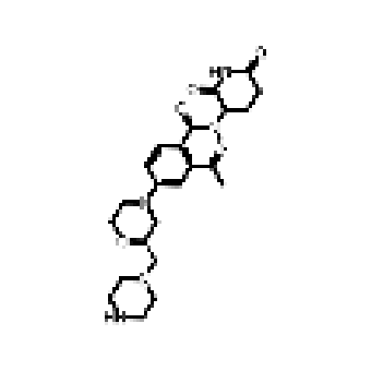 Cc1nn(C2CCC(=O)NC2=O)c(=O)c2ccc(N3CCO[C@H](CN4CCNCC4)C3)cc12